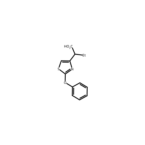 CCC(C(=O)O)c1csc(Oc2ccccc2)n1